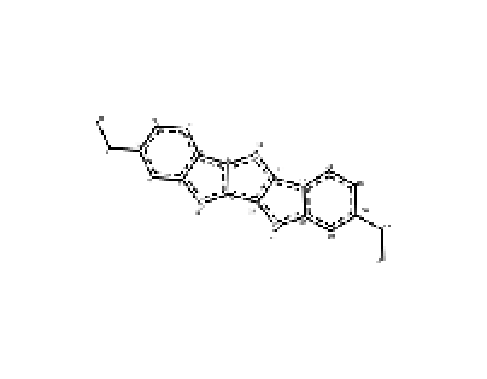 CCc1ccc2c(c1)sc1c2sc2c3ccc(CC)cc3sc21